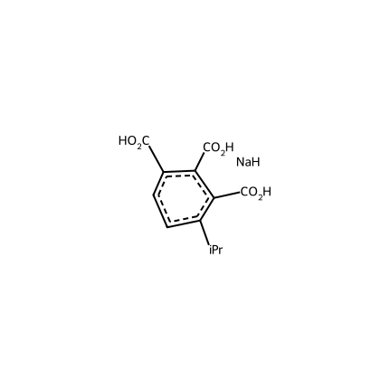 CC(C)c1ccc(C(=O)O)c(C(=O)O)c1C(=O)O.[NaH]